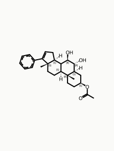 CC(=O)O[C@H]1CC[C@@]2(C)[C@H](C1)[C@@H](O)[C@H](O)C1[C@@H]2CC[C@]2(C)C(c3ccccc3)=CC[C@@H]12